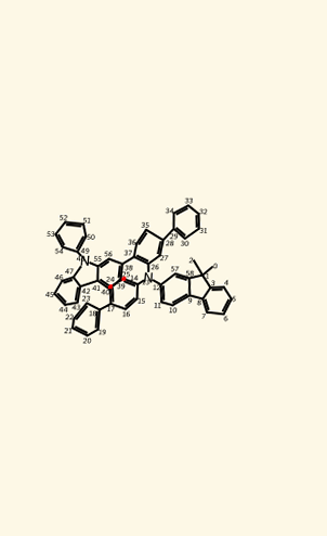 CC1(C)c2ccccc2-c2ccc(N(c3ccc(-c4ccccc4)cc3)c3cc(-c4ccccc4)ccc3-c3ccc4c5ccccc5n(-c5ccccc5)c4c3)cc21